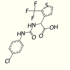 O=C(Nc1ccc(Cl)cc1)NC(C(=O)O)c1ccsc1C(F)(F)F